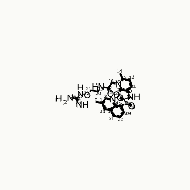 Cc1cnc2c(S(=O)(=O)Nc3ccc(C)n(CC(=O)NCCONC(=N)N)c3=O)cccc2c1